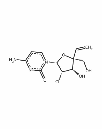 C=C[C@]1(CO)O[C@@H](n2ccc(N)nc2=O)[C@@H](Cl)[C@@H]1O